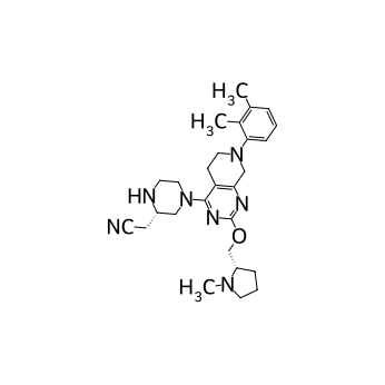 Cc1cccc(N2CCc3c(nc(OC[C@@H]4CCCN4C)nc3N3CCN[C@@H](CC#N)C3)C2)c1C